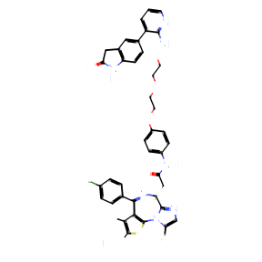 Cc1sc2c(c1C)C(c1ccc(Cl)cc1)=N[C@@H](CC(=O)Nc1ccc(OCCOCCONc3ncccc3-c3ccc4c(c3)CC(=O)N4)cc1)c1ncc(C)n1-2